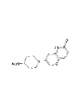 CNC1CCN(c2cnc3ccc(=O)[nH]c3c2)CC1